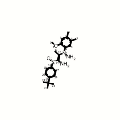 COc1cc(C)c(C)cc1N(N)/C(C)=C(\N)[S+]([O-])c1ccc(C(C)(C)C)cc1